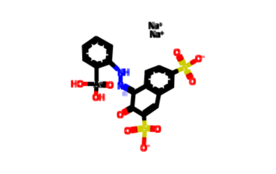 O=C1C(S(=O)(=O)[O-])=Cc2cc(S(=O)(=O)[O-])ccc2/C1=N\Nc1ccccc1[As](=O)(O)O.[Na+].[Na+]